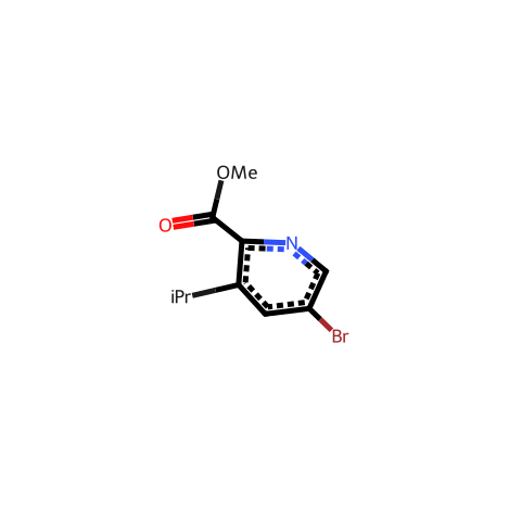 COC(=O)c1ncc(Br)cc1C(C)C